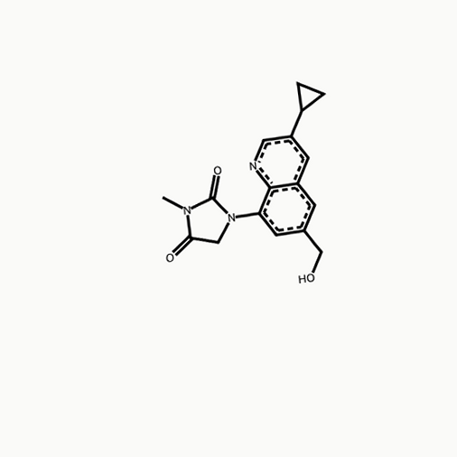 CN1C(=O)CN(c2cc(CO)cc3cc(C4CC4)cnc23)C1=O